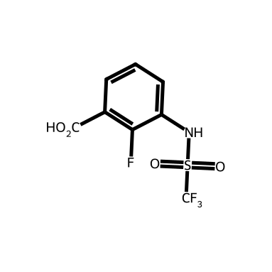 O=C(O)c1cccc(NS(=O)(=O)C(F)(F)F)c1F